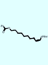 CCCCCC/C=C\CCCCCCCCOC(=O)CC